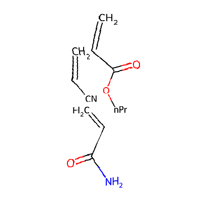 C=CC#N.C=CC(=O)OCCC.C=CC(N)=O